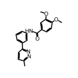 COc1ccc(C(=O)Nc2cccc(-c3ccc(C)nn3)c2)cc1OC